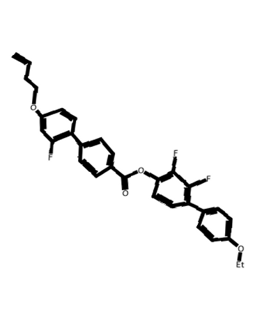 C=CCCOc1ccc(-c2ccc(C(=O)Oc3ccc(-c4ccc(OCC)cc4)c(F)c3F)cc2)c(F)c1